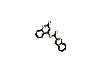 O=C(Oc1cc(=O)oc2ccccc12)c1cc2ccccc2s1